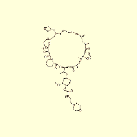 CO[C@@H]1C[C@H](C[C@@H](C)[C@@H]2CC(=O)[C@H](C)/C=C(\C)[C@@H](O)[C@@H](OC)C(=O)[C@H](C)C[C@H](C)/C=C/C=C/C=C(\C)C(OC3COC3)C[C@@H]3CC[C@@H](C)[C@@](O)(O3)C(=O)C(=O)N3CCCCC3C(=O)O2)CC[C@H]1OC(=O)NCCN1CCOCC1